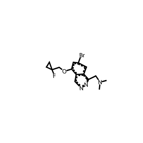 CN(C)Cc1nncc2c(OCC3(F)CC3)cc(Br)cc12